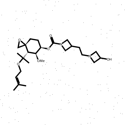 CO[C@H]1[C@H](C(C)(C)OCC=C(C)C)[C@]2(CC[C@H]1OC(=O)N1CC(CCN3CC(O)C3)C1)CO2